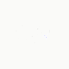 CCN(CC)[Si](CC)(CC)c1ccccc1